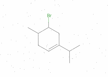 CC(C)C1=CCC(C)C(Br)C1